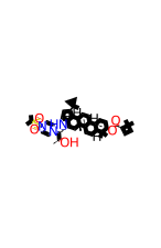 CC(C)S(=O)(=O)N1CCN([C@H](CN[C@]23CC[C@@H](C4(C)CC4)[C@@H]2[C@H]2CC[C@@H]4[C@@]5(C)CC[C@H](OC(=O)[C@H]6CCC6(C)C)C(C)(C)[C@@H]5CC[C@@]4(C)[C@]2(C)CC3)[C@@H](C)O)CC1